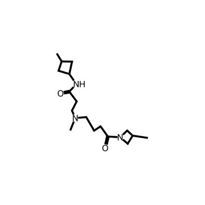 CC1CC(NC(=O)CCN(C)CCCC(=O)N2CC(C)C2)C1